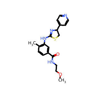 COCCNC(=O)c1ccc(C)c(NC2=NC(c3ccncc3)CS2)c1